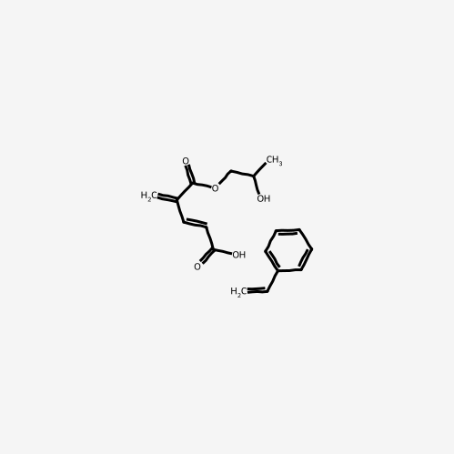 C=C(C=CC(=O)O)C(=O)OCC(C)O.C=Cc1ccccc1